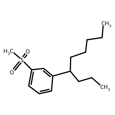 CCCCCC(CCC)c1cccc(S(C)(=O)=O)c1